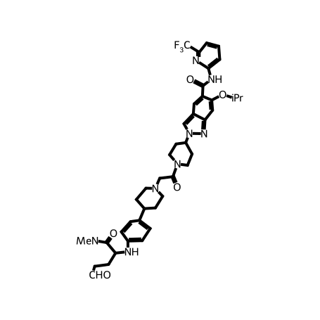 CNC(=O)C(CCC=O)Nc1ccc(C2CCN(CC(=O)N3CCC(n4cc5cc(C(=O)Nc6cccc(C(F)(F)F)n6)c(OC(C)C)cc5n4)CC3)CC2)cc1